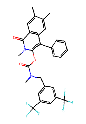 Cc1cc2c(-c3ccccc3)c(OC(=O)N(C)Cc3cc(C(F)(F)F)cc(C(F)(F)F)c3)n(C)c(=O)c2cc1C